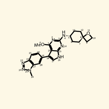 COc1nc(N[C@H]2CC[C@@]3(CCO3)CC2)nc2[nH]cc(-c3ccc4nnn(C)c4c3)c12